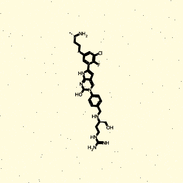 C[C@H](N)CCCc1cc(Cl)c(F)c(-c2cc3c([nH]2)=NC(O)N(c2ccc(CN[C@@H](CO)CCNC(=N)N)cc2)C=3)c1